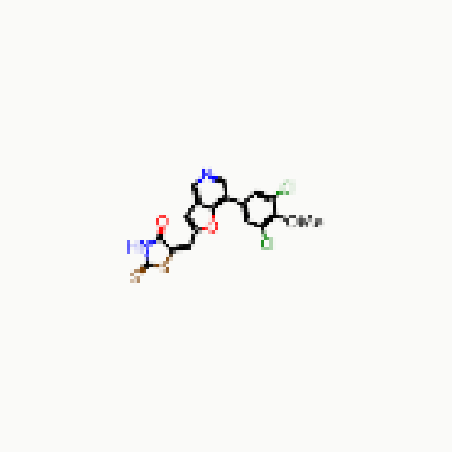 COc1c(Cl)cc(-c2cncc3cc(/C=C4/SC(=S)NC4=O)oc23)cc1Cl